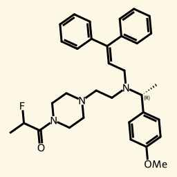 COc1ccc([C@@H](C)N(CC=C(c2ccccc2)c2ccccc2)CCN2CCN(C(=O)C(C)F)CC2)cc1